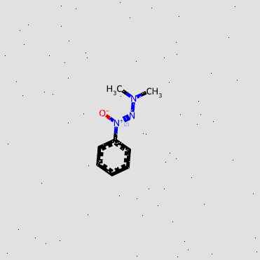 CN(C)/N=[N+](\[O-])c1ccccc1